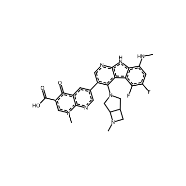 CNc1cc(F)c(F)c2c1[nH]c1ncc(-c3cnc4c(c3)c(=O)c(C(=O)O)cn4C)c(N3CC4CN(C)C4C3)c12